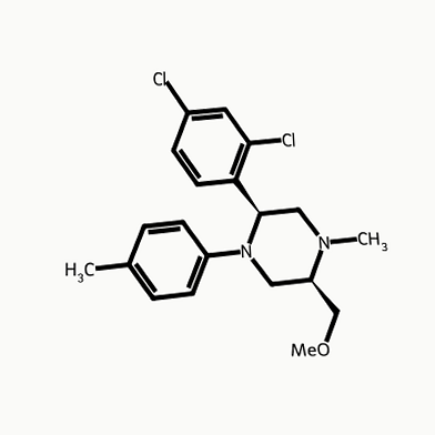 COC[C@H]1CN(c2ccc(C)cc2)[C@@H](c2ccc(Cl)cc2Cl)CN1C